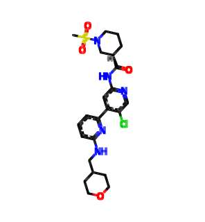 CS(=O)(=O)N1CCC[C@@H](C(=O)Nc2cc(-c3cccc(NCC4CCOCC4)n3)c(Cl)cn2)C1